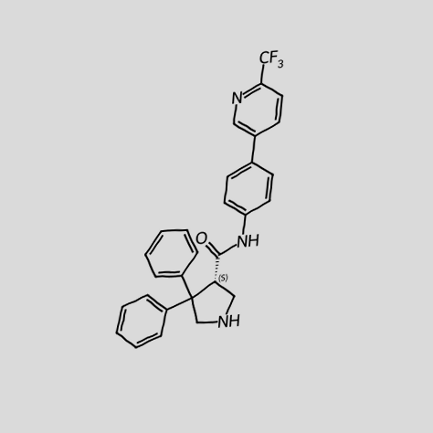 O=C(Nc1ccc(-c2ccc(C(F)(F)F)nc2)cc1)[C@@H]1CNCC1(c1ccccc1)c1ccccc1